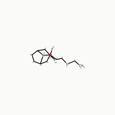 CCOCCCN1C2CCC1CC(F)(F)C2